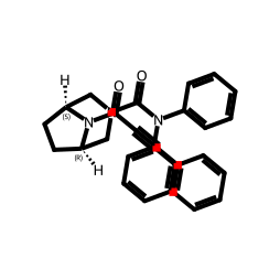 O=C(N1C[C@H]2CC[C@@H](C1)N2C(=O)C#Cc1ccccc1)N(c1ccccc1)c1ccccc1